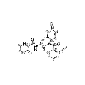 C#Cc1cccc2cc(C(C)NC(=O)c3nccnc3C)n(-c3ccc(F)cc3)c(=O)c12